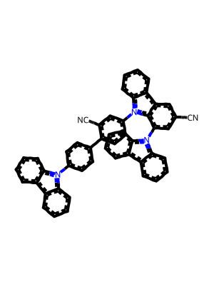 N#Cc1cc(-n2c3ccccc3c3ccccc32)c2c(c1)c1ccccc1n2-c1ccc(-c2ccc(-n3c4ccccc4c4ccccc43)cc2)c(C#N)c1